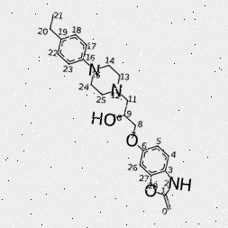 C=C1Nc2ccc(OC[C@@H](O)CN3CCN(c4ccc(CC)cc4)CC3)cc2O1